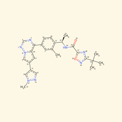 Cc1cc(-c2ncnn3cc(-c4cnn(C)c4)cc23)ccc1[C@@H](C)NC(=O)c1nc(C(C)(C)C)no1